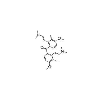 COc1ccc(C(=O)c2ccc(OC)c(C)c2C=CN(C)C)c(C=CN(C)C)c1C